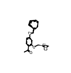 CC(=O)c1ccc(OCc2ccccc2)cc1OC[C@H]1CO1